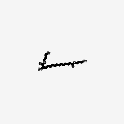 CC(C)CCCOC(=O)CCCCCCCCCCCCC(C(=O)OCCCC(C)C)C(C)C